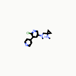 CNC1(CN(C)c2cnc(Cl)c(-c3ccncc3)c2)CC1